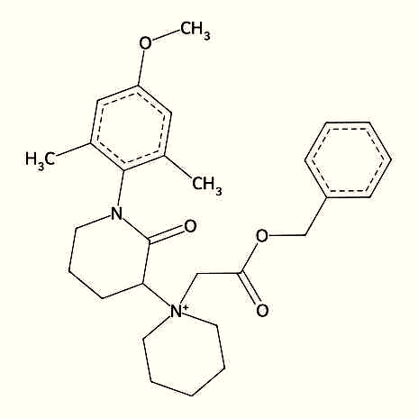 COc1cc(C)c(N2CCCC([N+]3(CC(=O)OCc4ccccc4)CCCCC3)C2=O)c(C)c1